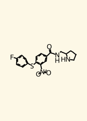 O=C(NCC1CCCN1)c1ccc(Sc2ccc(F)cc2)c([N+](=O)[O-])c1